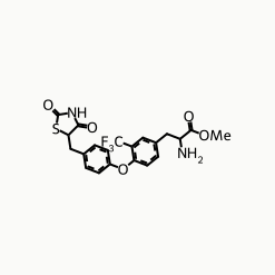 COC(=O)C(N)Cc1ccc(Oc2ccc(CC3SC(=O)NC3=O)cc2)c(C(F)(F)F)c1